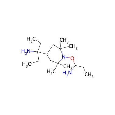 CCC(N)ON1C(C)(C)CC(C(N)(CC)CC)CC1(C)C